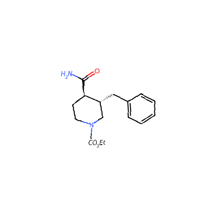 CCOC(=O)N1CC[C@@H](C(N)=O)[C@H](Cc2ccccc2)C1